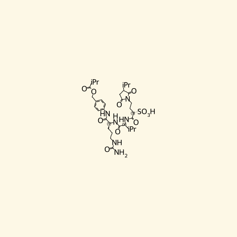 CC(C)C(=O)OCc1ccc(NC(=O)[C@H](CCCNC(N)=O)NC(=O)[C@@H](NC(=O)[C@H](CCN2C(=O)CC(C(C)C)C2=O)S(=O)(=O)O)C(C)C)cc1